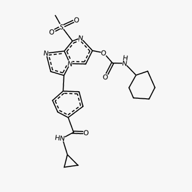 CS(=O)(=O)c1nc(OC(=O)NC2CCCCC2)cn2c(-c3ccc(C(=O)NC4CC4)cc3)cnc12